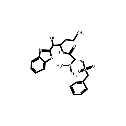 CCCC(NC(=O)[C@H](CS(=O)(=O)Cc1ccccc1)N(C)C)C(O)c1nc2ccccc2s1